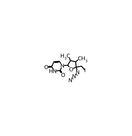 CC1C(n2ccc(=O)[nH]c2=O)OC(CI)(N=[N+]=[N-])C1C